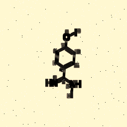 N=C(NI)c1ccc(OI)cc1